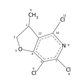 CC1COc2c(Cl)c(Cl)nc(Cl)c21